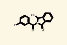 O=C(c1cccc(Cl)c1)N1C(=O)c2ccccc2C1O